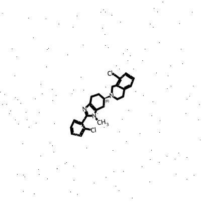 Cn1c(-c2ccccc2Cl)nc2c1C[C@H](N1CCc3cccc(Cl)c3C1)CC2